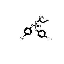 Cc1ccc(OP(=O)(Oc2ccc(C)cc2)OC(C)CC(C)C)cc1